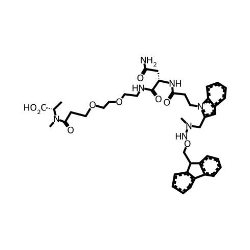 C[C@@H](C(=O)O)N(C)C(=O)CCOCCOCCNC(=O)[C@H](CC(N)=O)NC(=O)CCn1c(CN(C)NOCC2c3ccccc3-c3ccccc32)cc2ccccc21